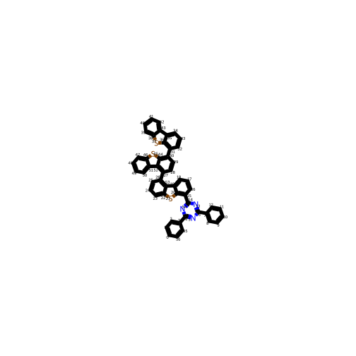 c1ccc(-c2nc(-c3ccccc3)nc(-c3cccc4c3sc3cccc(-c5ccc(-c6cccc7c6sc6ccccc67)c6sc7ccccc7c56)c34)n2)cc1